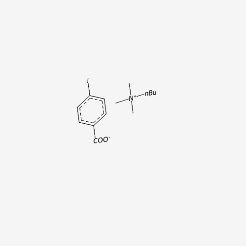 CCCC[N+](C)(C)C.O=C([O-])c1ccc(I)cc1